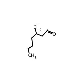 CCCCC(C)C[C]=O